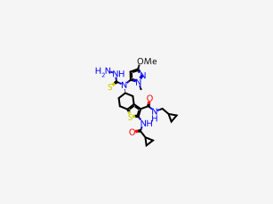 COc1cc(N(C(=S)NN)[C@H]2CCc3sc(NC(=O)C4CC4)c(C(=O)NCC4CC4)c3C2)n(C)n1